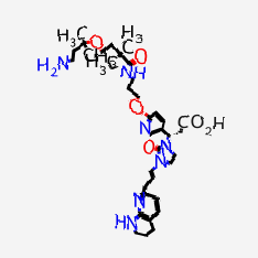 CC(C)(CCN)OCCC(C)(C)C(=O)NCCCOc1ccc([C@H](CC(=O)O)N2CCN(CCCc3ccc4c(n3)NCCC4)C2=O)cn1